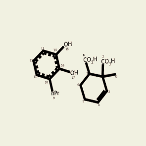 CC1(C(=O)O)C=CCCC1C(=O)O.CCCc1cccc(O)c1O